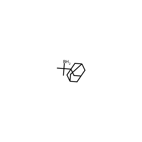 BC(C)(C)C12CC3CC(CC(C3)C1)C2